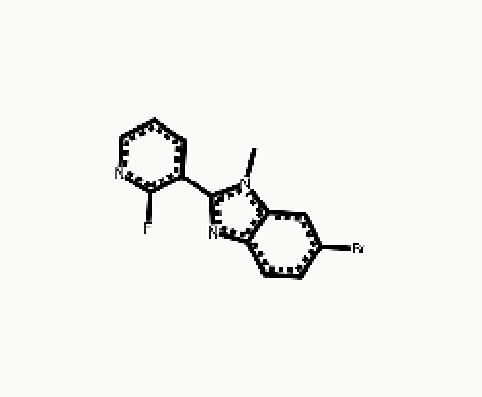 Cn1c(-c2cccnc2F)nc2ccc(Br)cc21